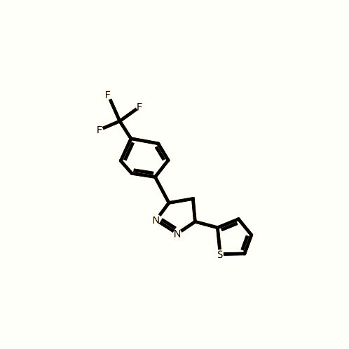 FC(F)(F)c1ccc(C2CC(c3cccs3)N=N2)cc1